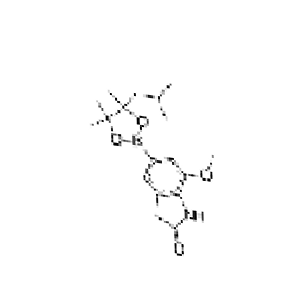 COc1cc(B2OC(C)(C)C(C)(CC(C)C)O2)cc2c1NC(=O)C2